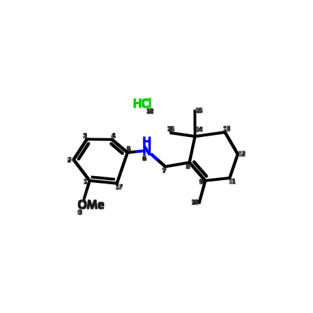 COc1cccc(NCC2=C(C)CCCC2(C)C)c1.Cl